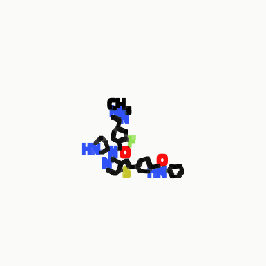 Cn1cc(-c2ccc(C(=O)N(c3nccc4sc(-c5ccc(C(=O)Nc6ccccc6)cc5)cc34)[C@@H]3CCCNC3)c(F)c2)nn1